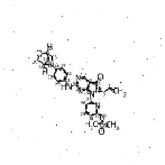 C=CCn1c(=O)c2cnc(Nc3ccc(N4C[C@@H]5C[C@H]4CO5)cc3)nc2n1-c1cccc(N=S(C)(C)=O)n1